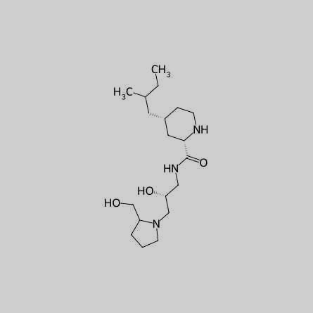 CCC(C)C[C@@H]1CCN[C@H](C(=O)NC[C@@H](O)CN2CCCC2CO)C1